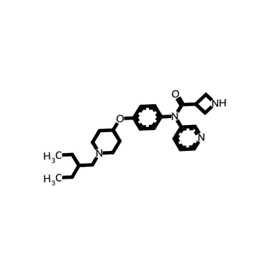 CCC(CC)CN1CCC(Oc2ccc(N(C(=O)C3CNC3)c3cccnc3)cc2)CC1